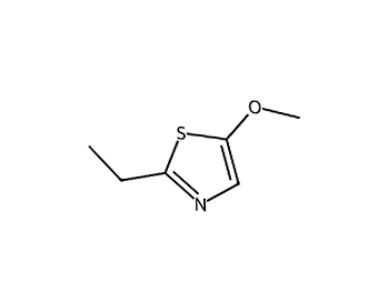 CCc1ncc(OC)s1